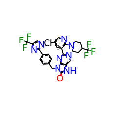 Cn1cc(C(F)(F)F)nc1-c1ccc(Cn2c(=O)[nH]c3cnc(-c4cccnc4N4CCC(C(F)(F)F)CC4)nc32)cc1